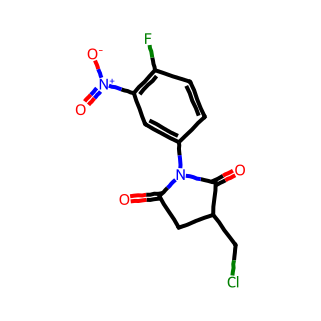 O=C1CC(CCl)C(=O)N1c1ccc(F)c([N+](=O)[O-])c1